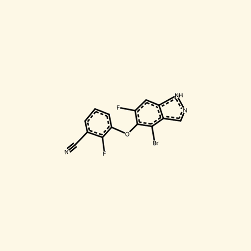 N#Cc1cccc(Oc2c(F)cc3[nH]ncc3c2Br)c1F